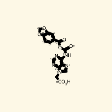 O=C(O)Cn1cnc2c(NC(=O)OC(=O)c3ccc4c(c3)OCO4)ncnc21